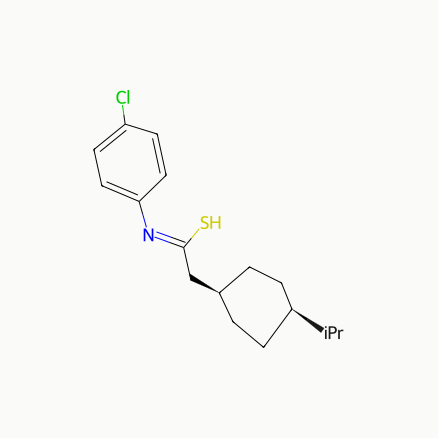 CC(C)[C@H]1CC[C@@H](CC(S)=Nc2ccc(Cl)cc2)CC1